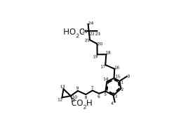 Cc1cc(C)c(CCCCC2(C(=O)O)CC2)cc1CCCCCCC(C)(C)C(=O)O